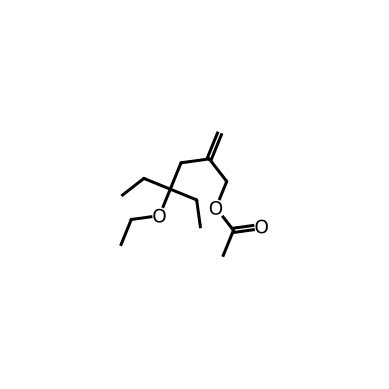 C=C(COC(C)=O)CC(CC)(CC)OCC